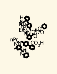 CCCc1nc2c(C)cc(-c3nc4ccccc4n3C)cc2n1Cc1ccc(-c2ccccc2C(=O)O)cc1.CCOc1nc2cccc(C(=O)OC(C)OC(=O)OC3CCCCC3)c2n1Cc1ccc(-c2ccccc2-c2nnn[nH]2)cc1